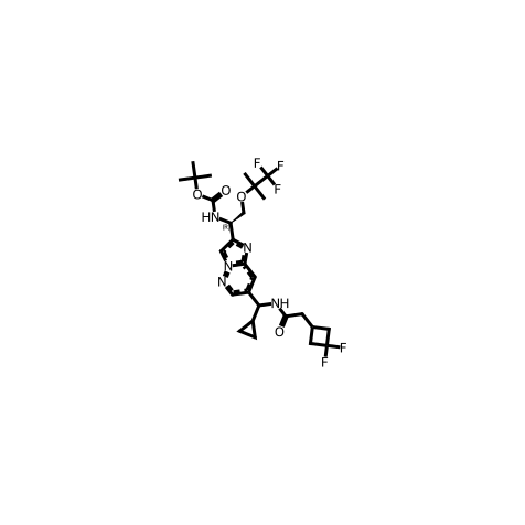 CC(C)(C)OC(=O)N[C@@H](COC(C)(C)C(F)(F)F)c1cn2ncc(C(NC(=O)CC3CC(F)(F)C3)C3CC3)cc2n1